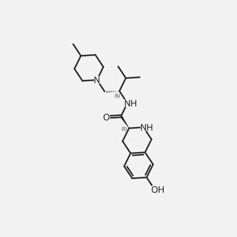 CC1CCN(C[C@@H](NC(=O)[C@@H]2Cc3ccc(O)cc3CN2)C(C)C)CC1